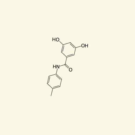 Cc1ccc(NC(=O)c2cc(O)cc(O)c2)cc1